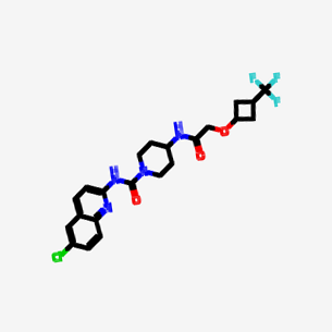 O=C(COC1CC(C(F)(F)F)C1)NC1CCN(C(=O)Nc2ccc3cc(Cl)ccc3n2)CC1